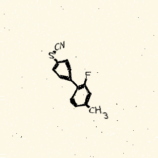 Cc1ccc(-c2ccc(SC#N)cc2)c(F)c1